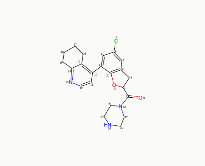 O=C(C1Cc2cc(Cl)cc(-c3ccnc4c3CCCC4)c2O1)N1CCNCC1